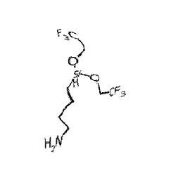 NCCCC[SiH](OCC(F)(F)F)OCC(F)(F)F